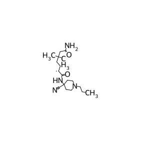 CCCN1CCC(C#N)(NC(=O)[CH]CCC(C)(C)CC(N)=O)CC1